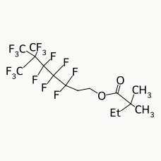 CCC(C)(C)C(=O)OCCC(F)(F)C(F)(F)C(F)(F)C(C(F)(F)F)(C(F)(F)F)C(F)(F)F